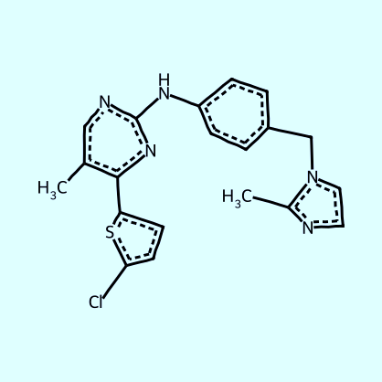 Cc1cnc(Nc2ccc(Cn3ccnc3C)cc2)nc1-c1ccc(Cl)s1